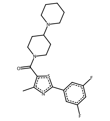 Cc1nc(-c2cc(F)cc(F)c2)sc1C(=O)N1CCC(N2CCCCC2)CC1